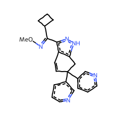 CON=C(c1n[nH]c2c1C=CC(c1cccnc1)(c1cccnc1)C2)C1CCC1